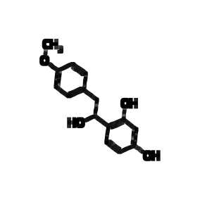 COc1ccc(CC(O)c2ccc(O)cc2O)cc1